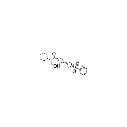 O=C(C(CO)C1CCCCC1)N1CC(=C2CN(S(=O)(=O)c3ccccn3)C2)C1